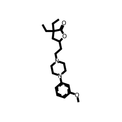 CCC1(CC)CC(CCN2CCN(c3cccc(OC)c3)CC2)OC1=O